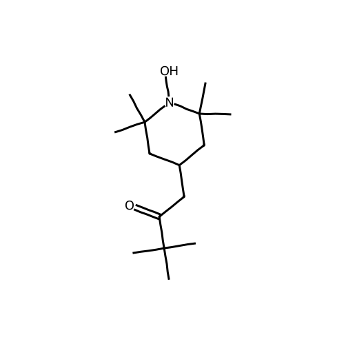 CC(C)(C)C(=O)CC1CC(C)(C)N(O)C(C)(C)C1